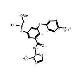 COC[C@H](C)Oc1cc(Oc2ccc(C(=O)O)cc2)cc(C(=O)NN2SC=NC2C)c1